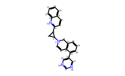 C1=CN(C2CC2c2ccc3ccccc3n2)Cc2cccc(-c3cncnc3)c21